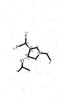 CC(C)O[C@H]1CN(CI)C[C@@H]1C(F)F